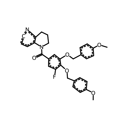 COc1ccc(COc2cc(C(=O)N3CCCc4ncccc43)cc(F)c2OCc2ccc(OC)cc2)cc1